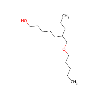 CCCCCOCC(CCC)CCCCCO